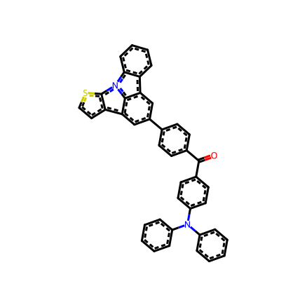 O=C(c1ccc(-c2cc3c4ccccc4n4c5sccc5c(c2)c34)cc1)c1ccc(N(c2ccccc2)c2ccccc2)cc1